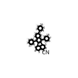 N#Cc1ccc2c3c(cccc13)-c1c-2c(-c2ccccc2)c2cc(-c3ccccc3)ccc2c1-c1ccccc1